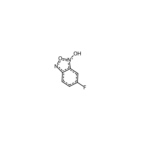 O[n+]1onc2ccc(F)cc21